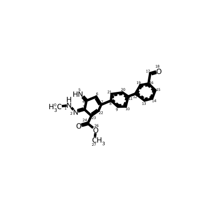 CN/N=C1\C(=N)C=C(c2ccc(-c3cccc(C=O)c3)cc2)C=C1C(=O)OC